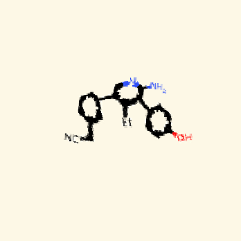 CCc1c(-c2cccc(CC#N)c2)cnc(N)c1-c1ccc(O)cc1